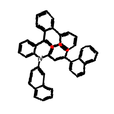 c1cc(-c2cccc3ccccc23)cc(N(c2ccc3ccccc3c2)c2ccccc2-c2cc3ccccc3c3ccccc23)c1